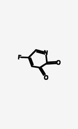 O=C1C=C(F)C=NC1=O